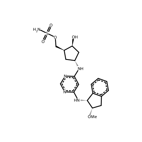 CO[C@H]1Cc2ccccc2[C@H]1Nc1cc(N[C@@H]2C[C@@H](COS(N)(=O)=O)[C@@H](O)C2)ncn1